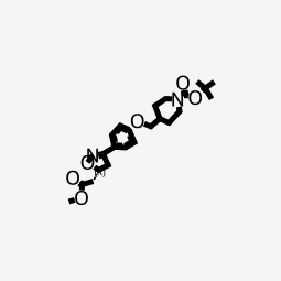 COC(=O)C[C@H]1CC(c2ccc(OCC3CCN(C(=O)OC(C)(C)C)CC3)cc2)=NO1